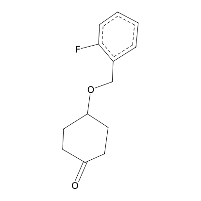 O=C1CCC(OCc2ccccc2F)CC1